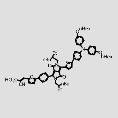 CCCCCCOc1ccc(N(c2ccc(OCCCCCC)cc2)c2ccc(-c3ccc(C4=C5C(=O)N(CC(CC)CCCC)C(c6ccc(-c7ccc(/C=C(\C#N)C(=O)O)o7)cc6)=C5C(=O)N4CC(CC)CCCC)s3)cc2)cc1